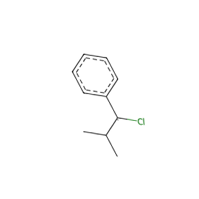 CC(C)[C](Cl)c1ccccc1